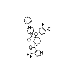 O=C(c1cnccc1C(F)(F)F)N1CCCC(Oc2ccc(Cl)c(F)c2)(C(=O)N2CCN(c3ccccn3)CC2)C1